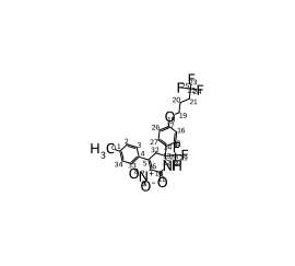 Cc1ccc(C2=C([N+](=O)[O-])C(=O)NC(c3ccc(OCCCC(F)(F)F)cc3)(C(F)(F)F)C2)cc1